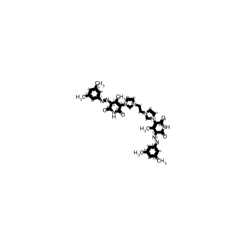 CC1=C(N2[CH]N(CCN3[CH]N(C4=C(C)C(N=Nc5cc(C)cc(C)c5)C(=O)NC4=O)C=C3)C=C2)C(=O)NC(=O)C1N=Nc1cc(C)cc(C)c1